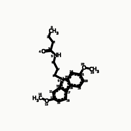 CCCC(=O)NCCCn1c2cc(OC)ccc2c2ccc(OC)cc21